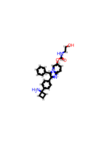 NC1(c2ccc(-c3nc4ccc(OC(=O)NCCO)cn4c3-c3ccccc3)cc2)CCC1